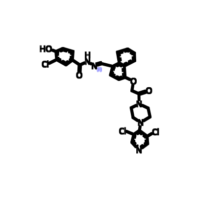 O=C(N/N=C/c1ccc(OCC(=O)N2CCN(c3c(Cl)cncc3Cl)CC2)c2ccccc12)c1ccc(O)c(Cl)c1